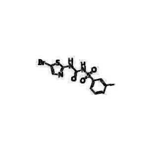 Cc1cccc(S(=O)(=O)NC(=O)Nc2ncc(Br)s2)c1